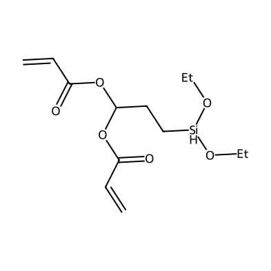 C=CC(=O)OC(CC[SiH](OCC)OCC)OC(=O)C=C